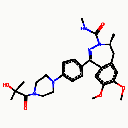 CNC(=O)N1N=C(c2ccc(N3CCN(C(=O)C(C)(C)O)CC3)cc2)c2cc(OC)c(OC)cc2C[C@@H]1C